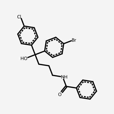 O=C(NCCCC(O)(c1ccc(Cl)cc1)c1ccc(Br)cc1)c1ccccc1